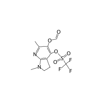 Cc1nc2c(c(OS(=O)(=O)C(F)(F)F)c1OC=O)CCN2C